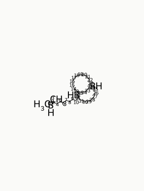 CBC(C)CCCCCCCC1BC2CCCCCCCCCC(BCCCCCCC1)CCCC2